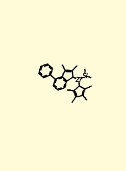 CC1=C(C)[CH]([Zr]([CH]2C(C)=C(C)c3c(-c4ccccc4)cccc32)=[Si](C)C)C(C)=C1C